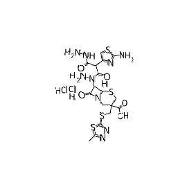 Cc1nnc(SCC2(C(=O)O)CS[C@@H]3C(N(N)C(=O)C(C(=O)NN)c4csc(N)n4)C(=O)N3C2)s1.Cl.Cl